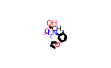 CC(=O)O.Nc1ccccc1.c1ccoc1